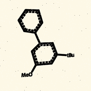 COc1cc(-c2ccccc2)cc(C(C)(C)C)c1